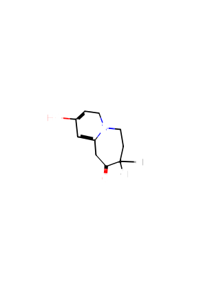 CC1(C)CCN2CC=C(O)C=C2CC1=O